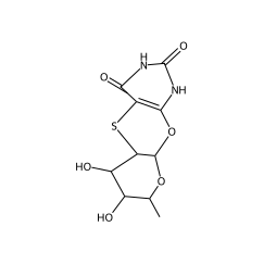 CC1OC2Oc3[nH]c(=O)[nH]c(=O)c3SC2C(O)C1O